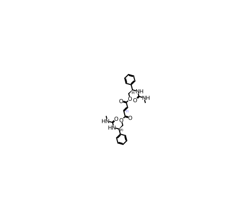 CNC(=O)N[C@@H](COC(=O)/C=C/C(=O)OC[C@H](NC(=O)NC)c1ccccc1)c1ccccc1